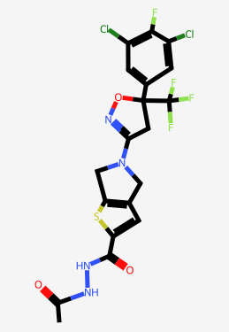 CC(=O)NNC(=O)c1cc2c(s1)CN(C1=NOC(c3cc(Cl)c(F)c(Cl)c3)(C(F)(F)F)C1)C2